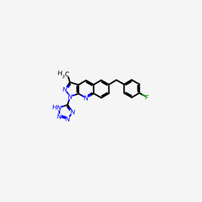 Cc1nn(-c2nnn[nH]2)c2nc3ccc(Cc4ccc(F)cc4)cc3cc12